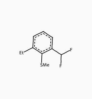 CCc1cccc(C(F)F)c1SC